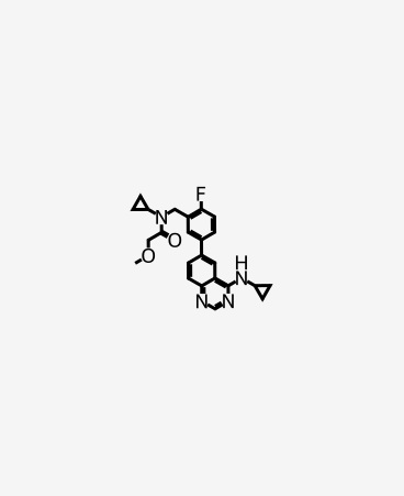 COCC(=O)N(Cc1cc(-c2ccc3ncnc(NC4CC4)c3c2)ccc1F)C1CC1